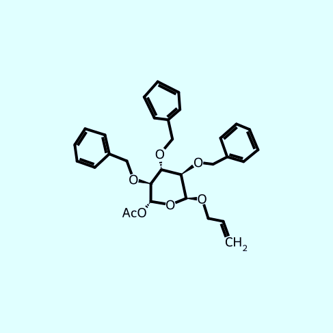 C=CCO[C@H]1O[C@H](OC(C)=O)[C@@H](OCc2ccccc2)[C@H](OCc2ccccc2)[C@H]1OCc1ccccc1